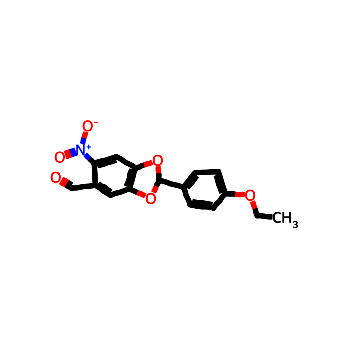 CCOc1ccc(C2Oc3cc(C=O)c([N+](=O)[O-])cc3O2)cc1